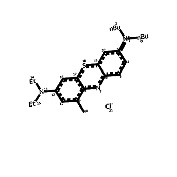 CCCC[N+](CCCC)=c1ccc2nc3c(C)cc(N(CC)CC)cc3sc-2c1.[Cl-]